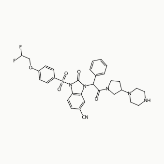 N#Cc1ccc2c(c1)n(C(C(=O)N1CCC(N3CCNCC3)C1)c1ccccc1)c(=O)n2S(=O)(=O)c1ccc(OCC(F)F)cc1